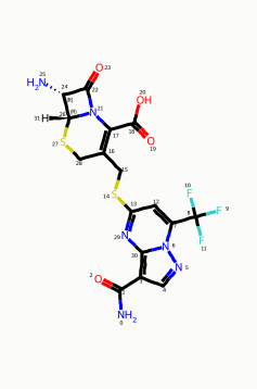 NC(=O)c1cnn2c(C(F)(F)F)cc(SCC3=C(C(=O)O)N4C(=O)[C@@H](N)[C@H]4SC3)nc12